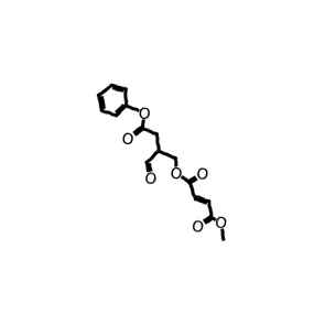 COC(=O)C=CC(=O)OCC(C=O)CC(=O)Oc1ccccc1